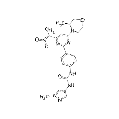 CC(c1cc(N2CCOC[C@@H]2C)nc(-c2ccc(NC(=O)Nc3cnn(C)c3)cc2)n1)=S(=O)=O